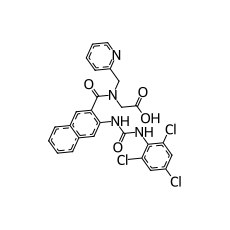 O=C(O)CN(Cc1ccccn1)C(=O)c1cc2ccccc2cc1NC(=O)Nc1c(Cl)cc(Cl)cc1Cl